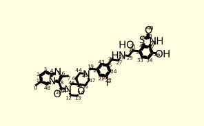 Cc1ccc2nc(C)c(C(=O)N3CCOC4(CCN(Cc5cc(F)cc(CCNC[C@H](O)c6ccc(O)c7[nH]c(=O)sc67)c5)CC4)C3)n2c1